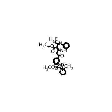 CCOC(=O)C1=C(CC(=O)c2ccc(OC)c(S(=O)(=O)N3CCCCC3C)c2)Nc2ccccc2N=C1CC